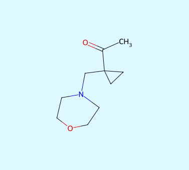 CC(=O)C1(CN2CCOCC2)CC1